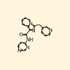 O=C(Nc1ccncn1)c1nc(Cc2cccnc2)n2ccccc12